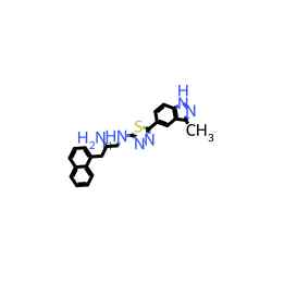 Cc1n[nH]c2ccc(-c3nnc(NC[C@@H](N)Cc4cccc5ccccc45)s3)cc12